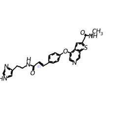 CNC(=O)c1cc2c(Oc3ccc(/C=C/C(=O)NCCc4c[nH]cn4)cc3)cncc2s1